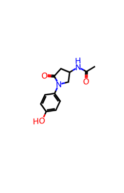 CC(=O)NC1CC(=O)N(c2ccc(O)cc2)C1